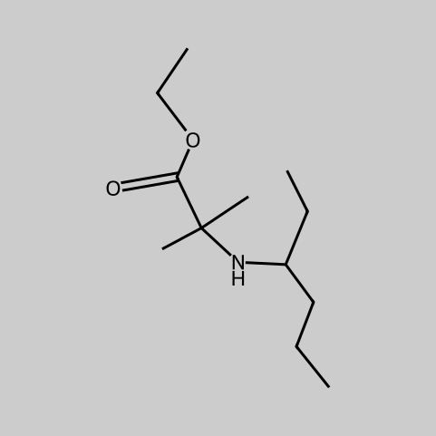 CCCC(CC)NC(C)(C)C(=O)OCC